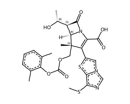 CSc1ncn2cc(C3=C(C(=O)O)N4C(=O)[C@H]([C@@H](C)O)[C@@H]4[C@@]3(C)COC(=O)Oc3c(C)cccc3C)sc12